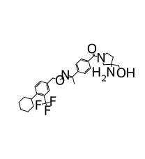 C/C(=N\OCc1ccc(C2CCCCC2)c(C(F)(F)F)c1)c1ccc(C(=O)N2CCC(N)(CO)C2)cc1